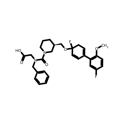 COc1ccc(F)cc1C1=CCC(F)(OC[C@@H]2CCCN(C(=O)N(CC(=O)O)Cc3ccccc3)C2)C=C1